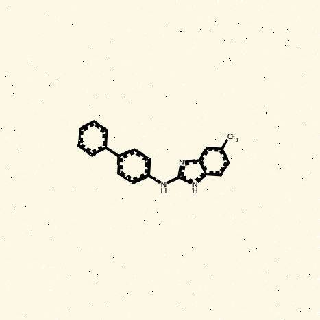 FC(F)(F)c1ccc2[nH]c(Nc3ccc(-c4ccccc4)cc3)nc2c1